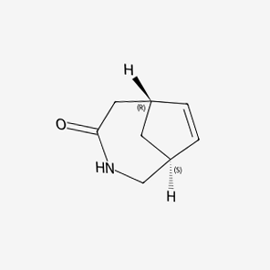 O=C1C[C@@H]2C=C[C@@H](CN1)C2